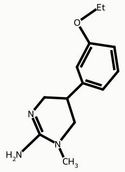 CCOc1cccc(C2CN=C(N)N(C)C2)c1